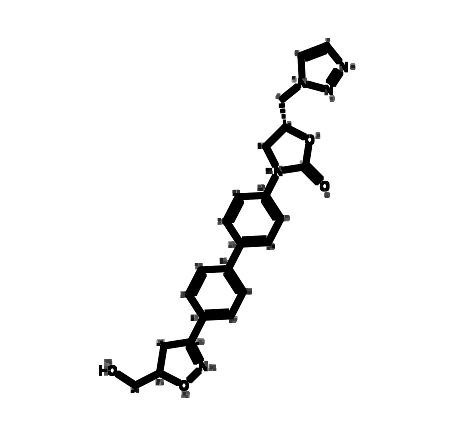 O=C1O[C@@H](Cn2ccnn2)CN1c1ccc(-c2ccc(C3=NOC(CO)C3)cc2)cc1